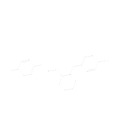 Cl.Fc1ccc(OCCN2CCCCC2Cc2ccc(Cl)cc2)cc1